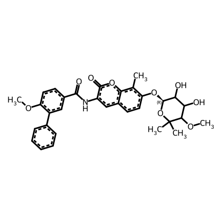 COc1ccc(C(=O)Nc2cc3ccc(O[C@@H]4OC(C)(C)C(OC)C(O)C4O)c(C)c3oc2=O)cc1-c1ccccc1